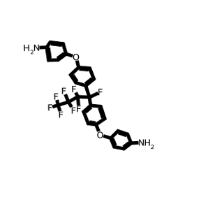 Nc1ccc(Oc2ccc(C(F)(c3ccc(Oc4ccc(N)cc4)cc3)C(F)(F)C(F)(F)C(F)(F)F)cc2)cc1